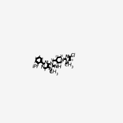 CC(C)c1ccccc1-c1ncc2c(n1)n(CC1CCN(c3nc(Cl)cn3C)CC1)c(=N)n2C